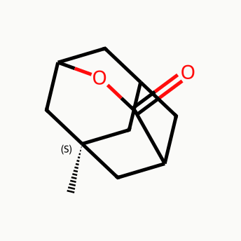 C[C@@]12CC3CC(C1)OC(=O)C(C3)C2